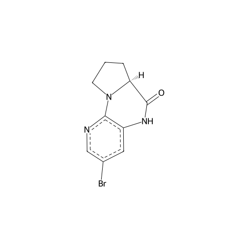 O=C1Nc2cc(Br)cnc2N2CCC[C@@H]12